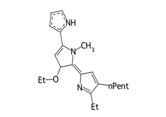 CCCCCC1=CC(=C2C(OCC)C=C(c3ccc[nH]3)N2C)N=C1CC